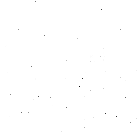 O=C(c1ccc(C2CCCN2C(=O)c2cc(Cl)c(O)cc2O)c(P)c1)N1CC(F)(F)C1